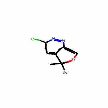 CCC1(C)OC=C2N=NC(Cl)C=C21